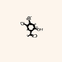 CC(=O)c1cc(Cl)c(Br)cc1O